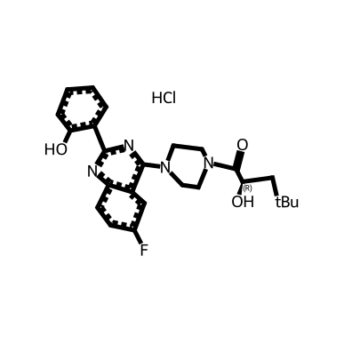 CC(C)(C)C[C@@H](O)C(=O)N1CCN(c2nc(-c3ccccc3O)nc3ccc(F)cc23)CC1.Cl